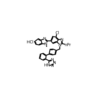 CCCc1nc2c(Cl)cc(-c3nc4ccccc4n3C)cc2n1Cc1ccc(-c2ccccc2-c2nnn[nH]2)cc1.Cl